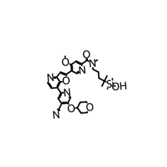 COc1cc(C(=O)N(C)CCCC(C)(C)[Si](C)(C)O)ncc1-c1cc2nccc(-c3cc(C#N)c(OC4CCOCC4)cn3)c2o1